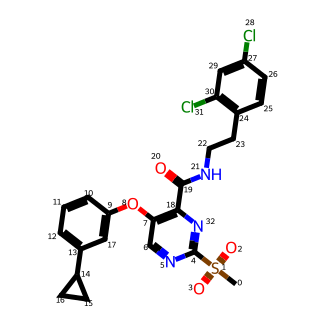 CS(=O)(=O)c1ncc(Oc2cccc(C3CC3)c2)c(C(=O)NCCc2ccc(Cl)cc2Cl)n1